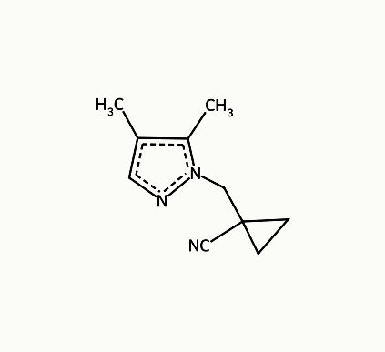 Cc1cnn(CC2(C#N)CC2)c1C